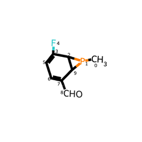 CP1C2C(F)=CC=C(C=O)C21